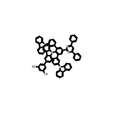 N#Cc1cc(C#N)cc(-c2ccc3c(c2)c2ccccc2n3-c2c(-c3cccc(-n4c5ccccc5c5ccccc54)c3)cc(-c3nc(-c4ccccc4)cc(-c4ccccc4)n3)cc2-c2cccc(-n3c4ccccc4c4ccccc43)c2)c1